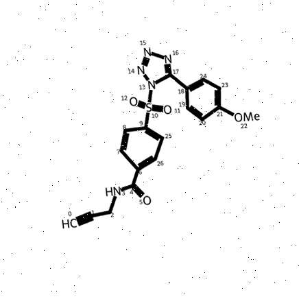 C#CCNC(=O)c1ccc(S(=O)(=O)n2nnnc2-c2ccc(OC)cc2)cc1